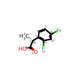 C[C@@H](C(=O)O)c1ccc(F)cc1F